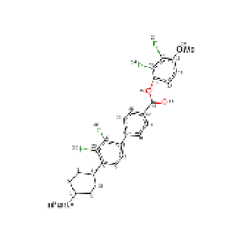 CCCCCC1CCC(c2ccc(-c3ccc(C(=O)Oc4ccc(OC)c(F)c4F)cc3)c(F)c2F)CC1